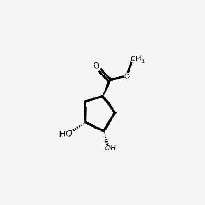 COC(=O)[C@@H]1C[C@@H](O)[C@@H](O)C1